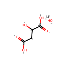 O=C(O)CC(O)C(=O)O.[Li+].[OH-]